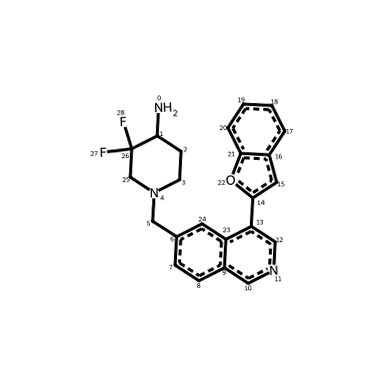 NC1CCN(Cc2ccc3cncc(-c4cc5ccccc5o4)c3c2)CC1(F)F